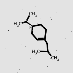 CC(C)CC1=CC[C@@H](C(C)C)CC1